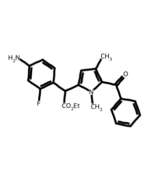 CCOC(=O)C(c1ccc(N)cc1F)c1cc(C)c(C(=O)c2ccccc2)n1C